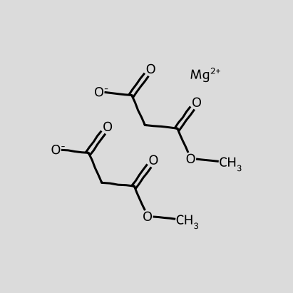 COC(=O)CC(=O)[O-].COC(=O)CC(=O)[O-].[Mg+2]